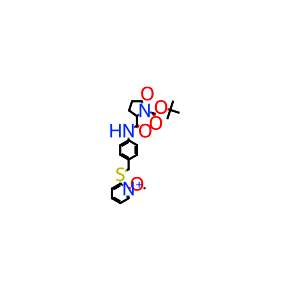 CO[n+]1ccccc1SCc1ccc(NC(=O)C2CCC(=O)N2C(=O)OC(C)(C)C)cc1